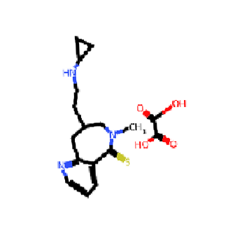 CN1CC(CCNC2CC2)Cc2ncccc2C1=S.O=C(O)C(=O)O